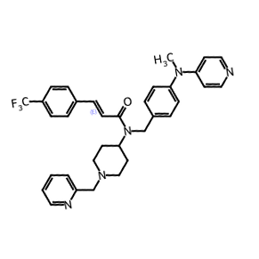 CN(c1ccncc1)c1ccc(CN(C(=O)/C=C/c2ccc(C(F)(F)F)cc2)C2CCN(Cc3ccccn3)CC2)cc1